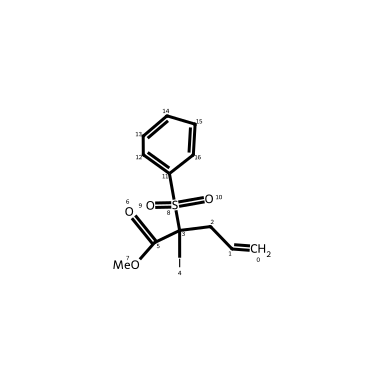 C=CCC(I)(C(=O)OC)S(=O)(=O)c1ccccc1